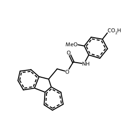 COc1cc(C(=O)O)ccc1NC(=O)OCC1c2ccccc2-c2ccccc21